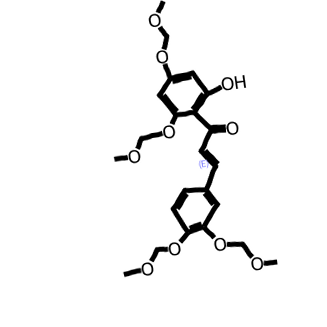 COCOc1cc(O)c(C(=O)/C=C/c2ccc(OCOC)c(OCOC)c2)c(OCOC)c1